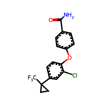 NC(=O)c1ccc(Oc2ccc(C3(C(F)(F)F)CC3)cc2Cl)cc1